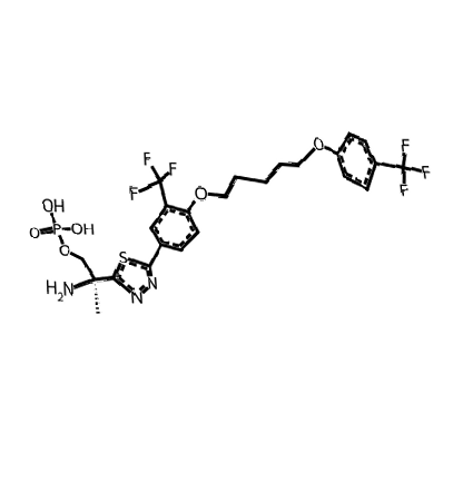 C[C@](N)(COP(=O)(O)O)c1nnc(-c2ccc(OCCCCCOc3ccc(C(F)(F)F)cc3)c(C(F)(F)F)c2)s1